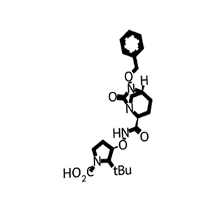 CC(C)(C)C1[C@@H](ONC(=O)[C@@H]2CC[C@@H]3CN2C(=O)N3OCc2ccccc2)CCN1C(=O)O